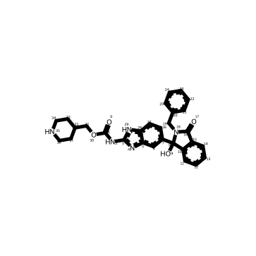 O=C(Nc1nc2cc(C3(O)c4ccccc4C(=O)N3Cc3ccccc3)ccc2[nH]1)OCC1CCNCC1